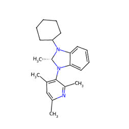 Cc1cc(C)c(N2c3ccccc3N(C3CCCCC3)[C@H]2C)c(C)n1